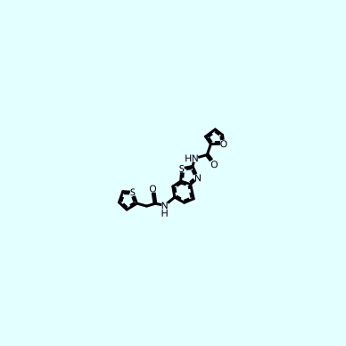 O=C(Cc1cccs1)Nc1ccc2nc(NC(=O)c3ccco3)sc2c1